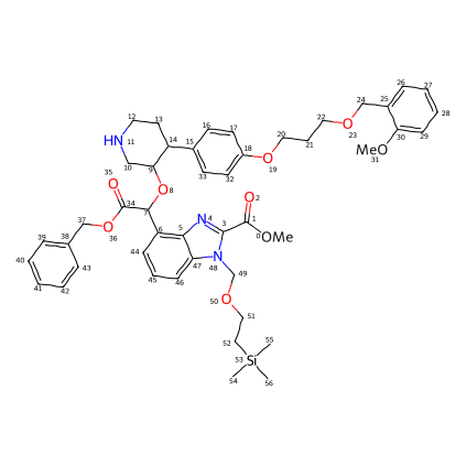 COC(=O)c1nc2c(C(OC3CNCCC3c3ccc(OCCCOCc4ccccc4OC)cc3)C(=O)OCc3ccccc3)cccc2n1COCC[Si](C)(C)C